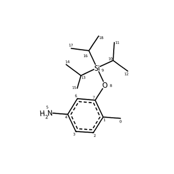 Cc1ccc(N)cc1O[Si](C(C)C)(C(C)C)C(C)C